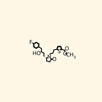 COC(=O)c1ccc(CCCN2C(=O)CC[C@@H]2CC[C@@H](O)Cc2ccc(F)cc2)s1